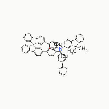 CC(C)(C)CC(c1ccc(-c2ccc3c(c2)C2(c4ccccc4-3)c3ccccc3-c3ccc(-c4ccc(N(c5ccc(-c6ccccc6)cc5)c5ccc6c(c5)C(C)(C)c5ccccc5-6)cc4)cc32)cc1)C(C)(C)C